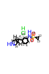 C[C@]1(c2cccc(NS(=O)(=O)C3CC3)c2)[C@@H]2CNC[C@@H]21.Cl